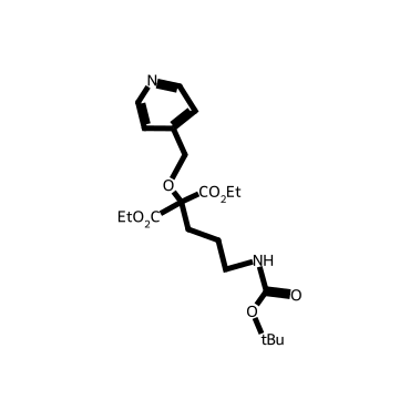 CCOC(=O)C(CCCNC(=O)OC(C)(C)C)(OCc1ccncc1)C(=O)OCC